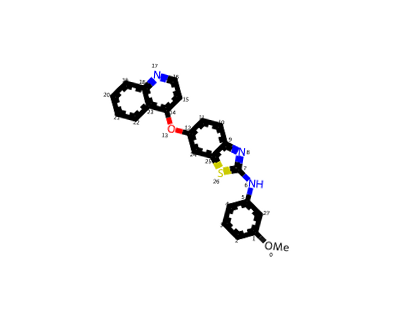 COc1cccc(Nc2nc3ccc(Oc4ccnc5ccccc45)cc3s2)c1